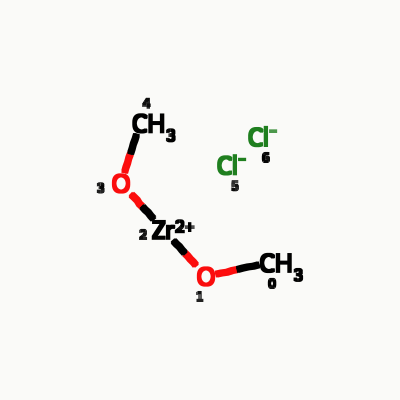 C[O][Zr+2][O]C.[Cl-].[Cl-]